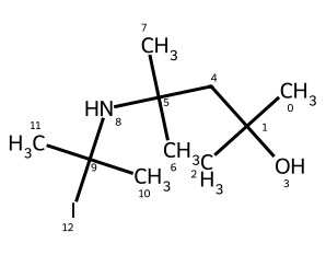 CC(C)(O)CC(C)(C)NC(C)(C)I